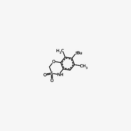 Cc1cc2c(c(C)c1C(C)(C)C)OCS(=O)(=O)N2